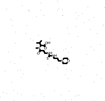 CC(C)C(C(=O)O)N(C)C(=O)CCNC(=S)NCCCN1CCOCC1